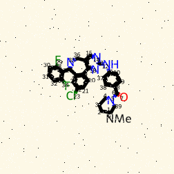 CNC1CCCN(C(=O)c2ccc(Nc3ncc4c(n3)-c3ccc(Cl)cc3C(c3c(F)cccc3F)=NC4)cc2)C1